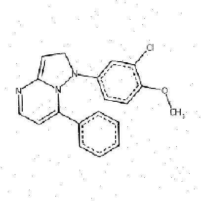 COc1ccc(N2CC=C3N=CC=C(c4ccccc4)N32)cc1Cl